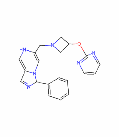 C1=NC(c2ccccc2)N2C=C(CN3CC(Oc4ncccn4)C3)NC=C12